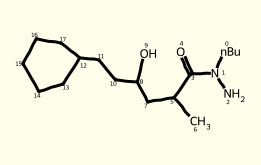 CCCCN(N)C(=O)C(C)CC(O)CCC1CCCCC1